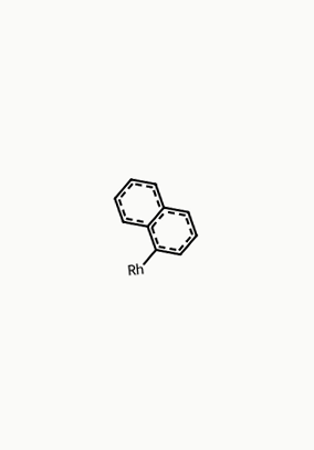 [Rh][c]1cccc2ccccc12